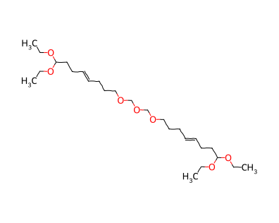 CCOC(CCC=CCCCOCOCOCCCC=CCCC(OCC)OCC)OCC